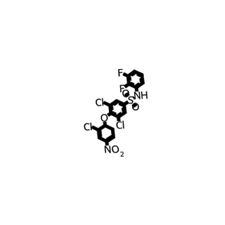 O=[N+]([O-])C1=CCC(Oc2c(Cl)cc(S(=O)(=O)Nc3cccc(F)c3F)cc2Cl)C(Cl)=C1